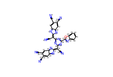 N#CC(=C1N=c2cc(C#N)c(C#N)cc2=N1)c1nc(C(C#N)=C2N=c3cc(C#N)c(C#N)cc3=N2)nc(-c2nc3ccccc3o2)n1